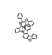 c1ccc(-c2nc(-c3ccccc3-n3c4ccccc4c4c5c(ccc43)oc3ccccc35)nc3c2oc2ccccc23)cc1